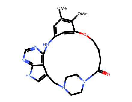 COc1cc2cc(c1OC)OCCCC(=O)N1CCN(CC1)Cc1c[nH]c3ncnc(c13)N2